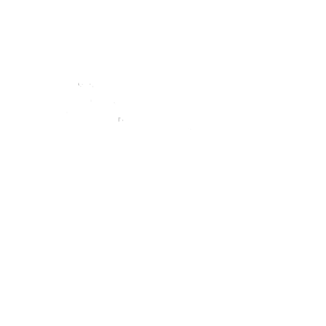 CN[C@@H](CO)C(=O)Nc1ccc(C(=O)CCc2ccc(-c3ccccc3)cc2)cc1